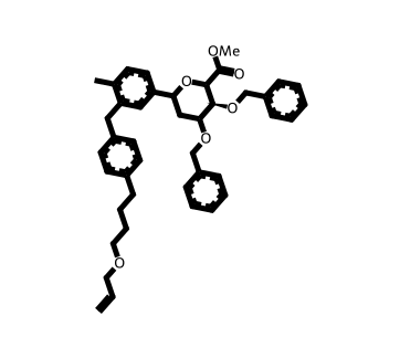 C=CCOCCCCc1ccc(Cc2cc(C3CC(OCc4ccccc4)[C@H](OCc4ccccc4)C(C(=O)OC)O3)ccc2C)cc1